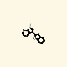 c1ccc2oc(-c3c[nH]c4ncccc34)cc2c1